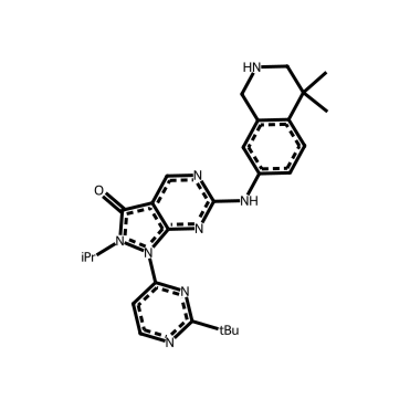 CC(C)n1c(=O)c2cnc(Nc3ccc4c(c3)CNCC4(C)C)nc2n1-c1ccnc(C(C)(C)C)n1